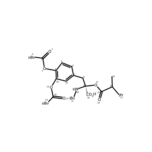 CCCCC(=O)Oc1ccc(C[C@](NC(C)CC)(OC(=O)C(C)C(C)C)C(=O)O)cc1OC(=O)CCCC